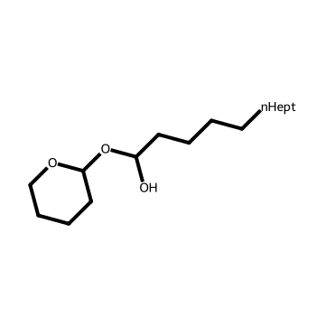 CCCCCCCCCCCC(O)OC1CCCCO1